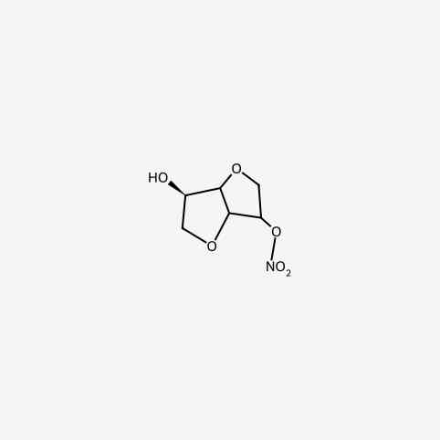 O=[N+]([O-])OC1COC2C1OC[C@H]2O